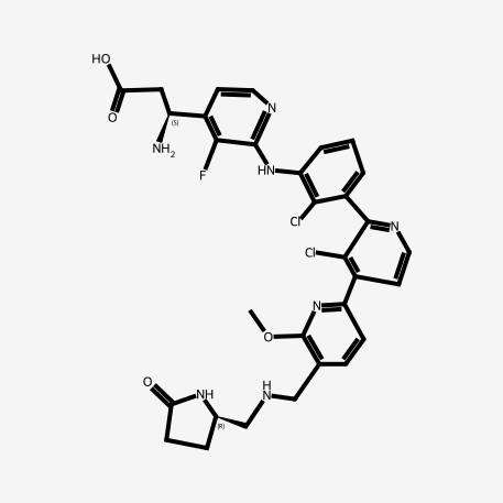 COc1nc(-c2ccnc(-c3cccc(Nc4nccc([C@@H](N)CC(=O)O)c4F)c3Cl)c2Cl)ccc1CNC[C@H]1CCC(=O)N1